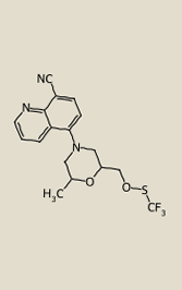 CC1CN(c2ccc(C#N)c3ncccc23)CC(COSC(F)(F)F)O1